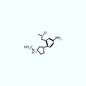 C[S+]([O-])Cc1cc(N)ccc1N1CC[C@H](NC(=O)O)C1